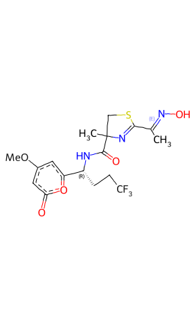 COc1cc([C@@H](CCC(F)(F)F)NC(=O)C2(C)CSC(/C(C)=N/O)=N2)oc(=O)c1